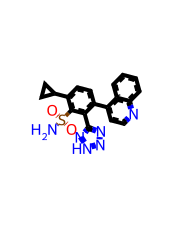 NS(=O)(=O)c1c(C2CC2)ccc(-c2ccnc3ccccc23)c1-c1nn[nH]n1